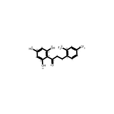 O=C(CCc1ccc(C(F)(F)F)cc1C(F)(F)F)c1c(O)cc(O)cc1O